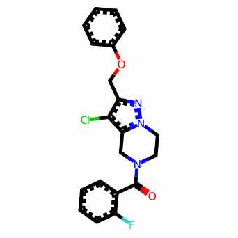 O=C(c1ccccc1F)N1CCn2nc(COc3ccccc3)c(Cl)c2C1